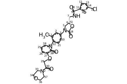 Cc1cc(N2C[C@H](CNC(=O)c3ccc(Cl)s3)OC2=O)ccc1-n1cccc(OCC(=O)N2CCOCC2)c1=O